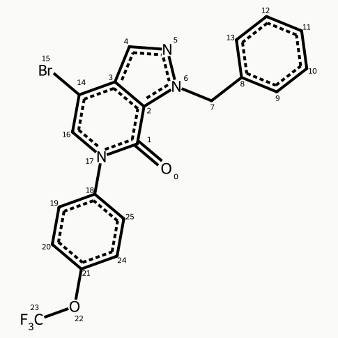 O=c1c2c(cnn2Cc2ccccc2)c(Br)cn1-c1ccc(OC(F)(F)F)cc1